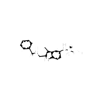 CCCCS(=O)(=O)Nc1ccc2[nH]c(CNC(=O)c3ccccc3)c(C)c2c1